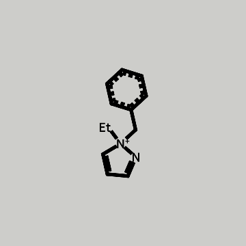 CC[N+]1(Cc2ccccc2)C=CC=N1